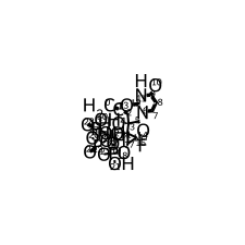 C=C=C[C@]1(O)[C@H](n2ccc(=O)[nH]c2=O)O[C@]2(F)C(OP(=O)(O)OP(=O)(O)OP(=O)(O)O)[C@@]21O